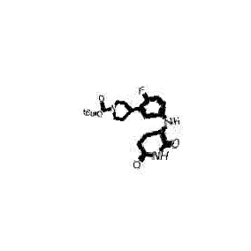 CC(C)(C)OC(=O)N1CCC(c2cc(NC3CCC(=O)NC3=O)ccc2F)CC1